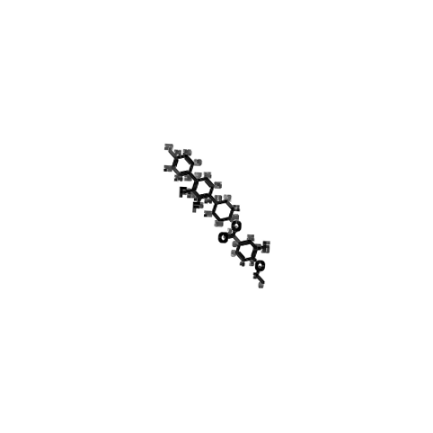 CCOc1ccc(C(=O)OC2CCC(c3ccc(-c4ccc(C)cc4)c(F)c3F)CC2)cc1F